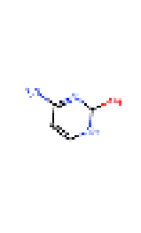 NC1=NC(O)NC=C1